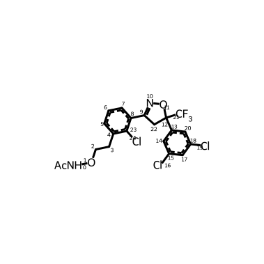 CC(=O)NOCCc1cccc(C2=NOC(c3cc(Cl)cc(Cl)c3)(C(F)(F)F)C2)c1Cl